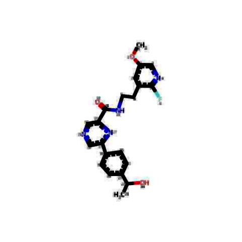 COc1cnc(F)c(CCNC(=O)c2cncc(-c3ccc(C(C)O)cc3)n2)c1